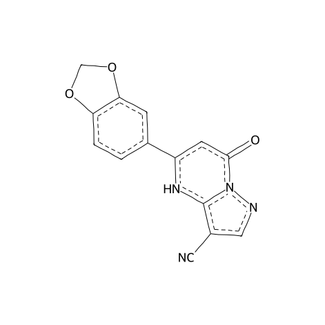 N#Cc1cnn2c(=O)cc(-c3ccc4c(c3)OCO4)[nH]c12